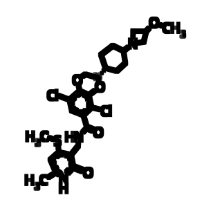 COC1CN(C2CCC([C@H]3COc4c(Cl)cc(C(=O)NCc5c(SC)cc(C)[nH]c5=O)c(Cl)c4O3)CC2)C1